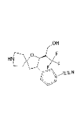 N#Cc1cccc([C@@H]2CC3(CCNCC3)O[C@H]2C(CO)C(F)(F)F)c1